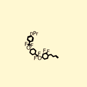 C=CCCC1CCC(OC(F)(F)C2CCC(OC(F)(F)c3ccc(CCC)cc3)CC2)CC1(F)F